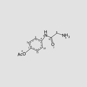 CC(=O)Oc1ccc(NC(=O)CN)cc1